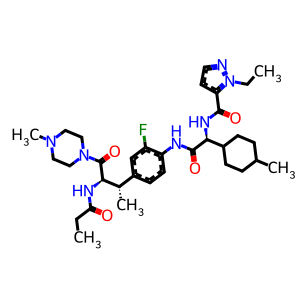 CCC(=O)N[C@@H](C(=O)N1CCN(C)CC1)[C@@H](C)c1ccc(NC(=O)[C@@H](NC(=O)c2ccnn2CC)C2CCC(C)CC2)c(F)c1